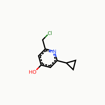 Oc1cc(CCl)nc(C2CC2)c1